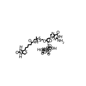 CC(C)(CNC(=O)CCCCC1SCC2NC(=O)NC21)SSCO[C@@H]1C[C@H](n2cnc3c(=O)[nH]c(N)nc32)O[C@@H]1COP(=O)(O)OP(=O)(O)OP(=O)(O)O